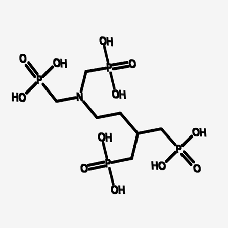 O=P(O)(O)CC(CCN(CP(=O)(O)O)CP(=O)(O)O)CP(=O)(O)O